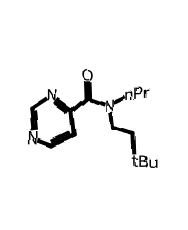 CCCN(CCC(C)(C)C)C(=O)c1ccncn1